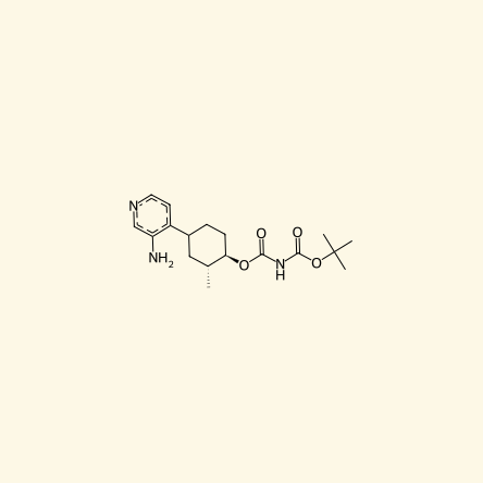 C[C@@H]1CC(c2ccncc2N)CC[C@H]1OC(=O)NC(=O)OC(C)(C)C